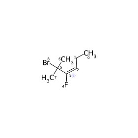 CC/C=C(/F)C(C)(C)Br